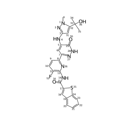 Cn1nc(Nc2cc(-c3ccc(F)c(NC(=O)c4cc5ccccc5s4)n3)n[nH]c2=O)cc1C(C)(C)O